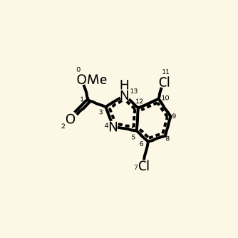 COC(=O)c1nc2c(Cl)ccc(Cl)c2[nH]1